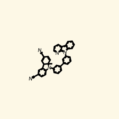 CC12C=CC(C#N)=CC1c1cc(C#N)ccc1N2c1cccc(-c2cccc(-n3c4ccccc4c4cccnc43)c2)c1